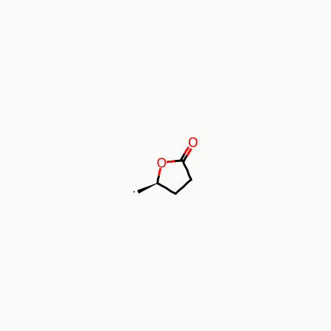 [CH2][C@@H]1CCC(=O)O1